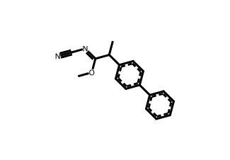 CO/C(=N\C#N)C(C)c1ccc(-c2ccccc2)cc1